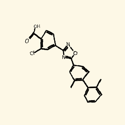 Cc1ccccc1-c1ccc(-c2nc(-c3ccc(C(=O)O)c(Cl)c3)no2)cc1C